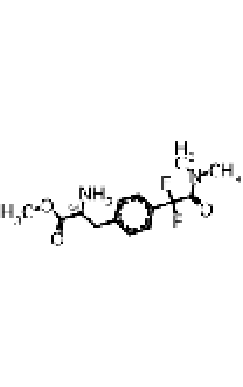 COC(=O)[C@@H](N)Cc1ccc(C(F)(F)C(=O)N(C)C)cc1